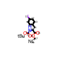 CC(C)(C)OC(=O)N[C@@H](Cc1ccc(I)cc1)C(=O)OCC#N